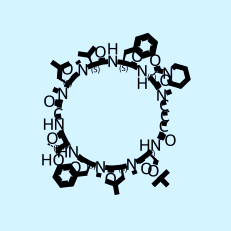 CC(C)C[C@H]1C(=O)N(C)[C@@H](C(C)C)C(=O)N[C@@H](Cc2ccccc2)C(=O)N[C@H](C(=O)N2CCCCC2)C(=O)N(C)CCCC(=O)N[C@@H](COC(C)(C)C)C(=O)N(C)[C@@H](CC(C)C)C(=O)N(C)[C@@H](Cc2ccccc2)C(=O)N[C@@H]([C@@H](C)O)C(=O)NCC(=O)N1C